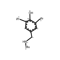 CC(C)c1cc(CNC(C)(C)C)cc(C(C)C)c1O